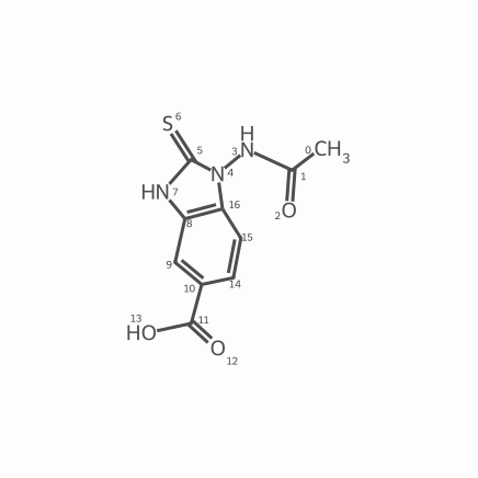 CC(=O)Nn1c(=S)[nH]c2cc(C(=O)O)ccc21